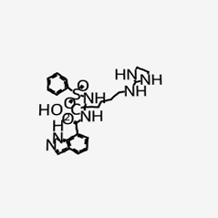 O=C(NC(CCCCNC1NCCN1)(NS(=O)(=O)c1ccccc1)C(=O)O)c1cccc2cn[nH]c12